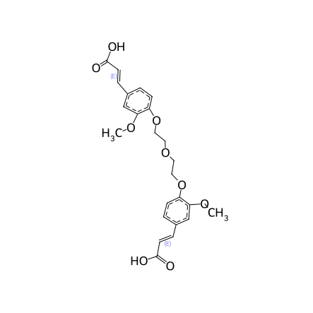 COc1cc(/C=C/C(=O)O)ccc1OCCOCCOc1ccc(/C=C/C(=O)O)cc1OC